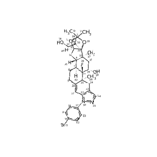 CC1(C)O[C@@H]2C[C@H]3[C@@H]4CCC5=Cc6c(cnn6-c6ccc(Br)cc6)C[C@]5(C)[C@@]4(F)[C@@H](O)C[C@]3(C)[C@]2(C(=O)CO)O1